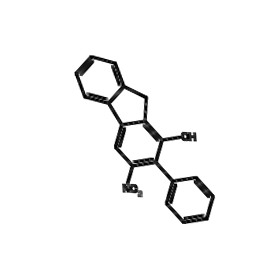 O=[N+]([O-])c1cc2c(c(O)c1-c1ccccc1)Cc1ccccc1-2